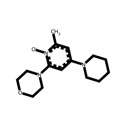 Cc1cc(N2CCCCC2)cc(N2CCOCC2)[n+]1[O-]